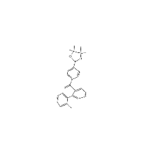 C=C(c1ccc(B2OC(C)(C)C(C)(C)O2)cc1)c1ccccc1-c1ccccc1C